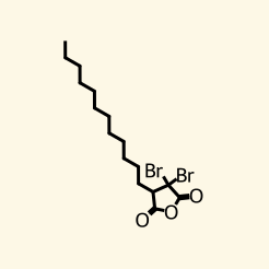 CCCCCCCCCCCCC1C(=O)OC(=O)C1(Br)Br